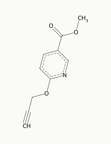 C#CCOc1ccc(C(=O)OC)cn1